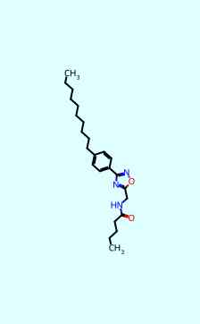 CCCCCCCCCCc1ccc(-c2noc(CNC(=O)CCCC)n2)cc1